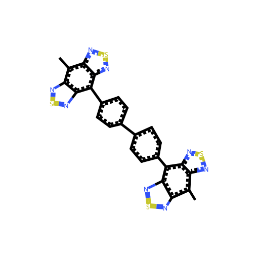 Cc1c2c(c(-c3ccc(-c4ccc(-c5c6c(c(C)c7nsnc57)N=S=N6)cc4)cc3)c3nsnc13)N=S=N2